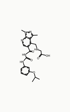 Cc1nn(C)c2ncc(C(=O)NC(=O)Nc3cccc(OC(C)C)c3)c(CNCC(=O)O)c12